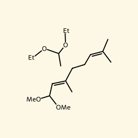 CCOC(C)OCC.COC(/C=C(\C)CCC=C(C)C)OC